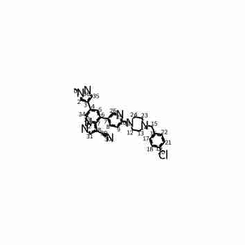 Cn1cc(-c2cc(-c3ccc(N4CCN(Cc5ccc(Cl)cc5)CC4)nc3)c3c(C#N)cnn3c2)cn1